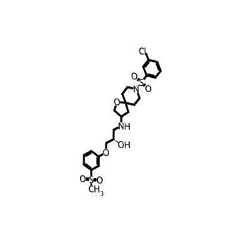 CS(=O)(=O)c1cccc(OC[C@@H](O)CNC2COC3(CCN(S(=O)(=O)c4cccc(Cl)c4)CC3)C2)c1